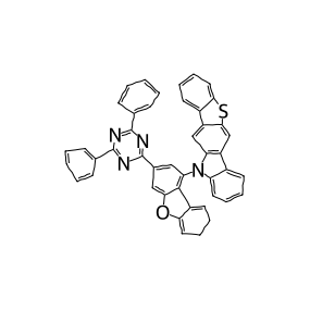 C1=c2oc3cc(-c4nc(-c5ccccc5)nc(-c5ccccc5)n4)cc(-n4c5ccccc5c5cc6sc7ccccc7c6cc54)c3c2=CCC1